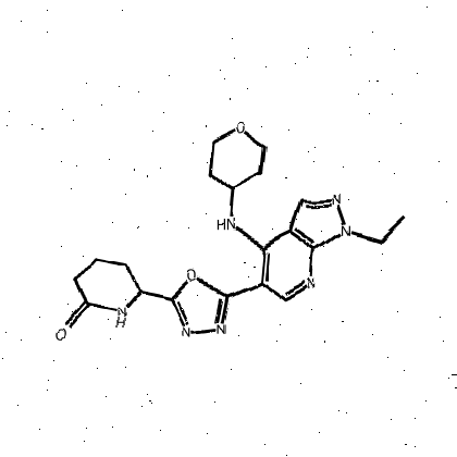 CCn1ncc2c(NC3CCOCC3)c(-c3nnc(C4CCCC(=O)N4)o3)cnc21